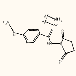 CC(C)=O.NN.NNc1ccc(C(=O)NN2C(=O)CCC2=O)cn1